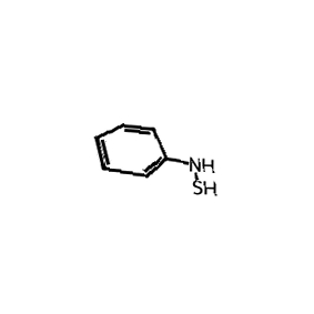 SNc1ccccc1